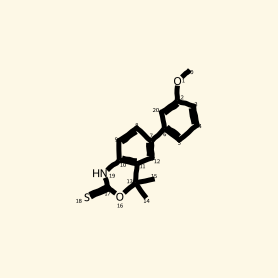 COc1cccc(-c2ccc3c(c2)C(C)(C)OC(=S)N3)c1